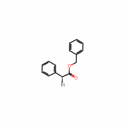 [CH2]C[C@H](C(=O)OCc1ccccc1)c1ccccc1